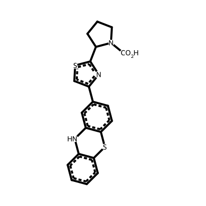 O=C(O)N1CCCC1c1nc(-c2ccc3c(c2)Nc2ccccc2S3)cs1